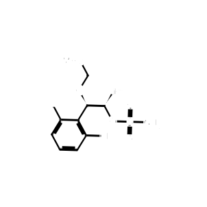 COCO[C@H](c1c(Cl)cccc1Cl)[C@H](OS(N)(=O)=O)C(C)C